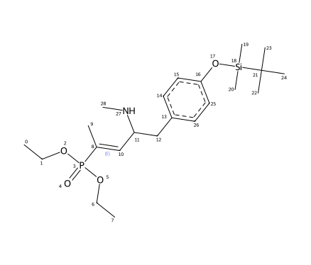 CCOP(=O)(OCC)/C(C)=C/C(Cc1ccc(O[Si](C)(C)C(C)(C)C)cc1)NC